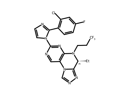 CC[C@@H]1c2nncn2-c2cnc(-n3ccnc3-c3ccc(F)cc3Cl)nc2N1CCC(F)(F)F